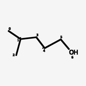 C[C](C)C[CH]CO